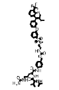 CCc1cnc2c(C(F)(F)F)cccc2c1-c1cccc(Oc2cccc(S(=O)(=O)N(C)CCNC(=O)OCc3ccc(NC(=O)[C@H](CCCNC(N)=O)NC(=O)[C@@H](NC(C)C)C(C)C)cc3)c2)c1